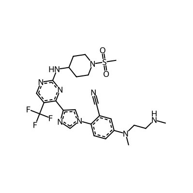 CNCCN(C)c1ccc(-n2cnc(-c3nc(NC4CCN(S(C)(=O)=O)CC4)ncc3C(F)(F)F)c2)c(C#N)c1